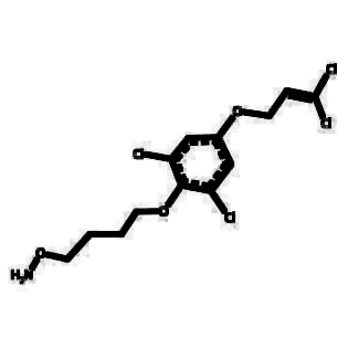 NOCCCCOc1c(Cl)cc(OCC=C(Cl)Cl)cc1Cl